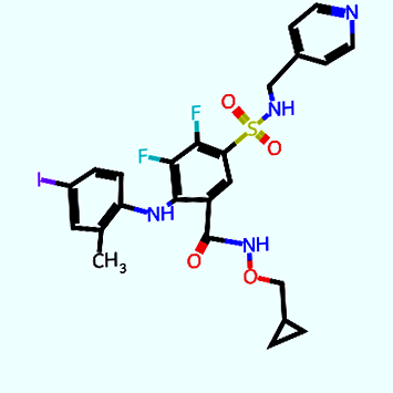 Cc1cc(I)ccc1Nc1c(C(=O)NOCC2CC2)cc(S(=O)(=O)NCc2ccncc2)c(F)c1F